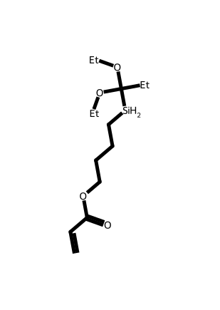 C=CC(=O)OCCCC[SiH2]C(CC)(OCC)OCC